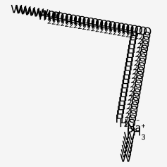 O.O.O.O.O.O.O.O.O.O.O.O.O.O.O.O.O.O.O.O.O.O.O.O.O.O.O.O.O.O.O.O.O.O.O.O.O.O.O.O.O.O.P.[Na+].[Na+].[OH-].[OH-].[W].[W].[W].[W].[W].[W].[W].[W].[W].[W].[W].[W].[W]